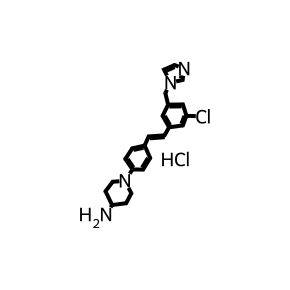 Cl.NC1CCN(c2ccc(C=Cc3cc(Cl)cc(Cn4ccnc4)c3)cc2)CC1